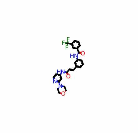 O=C(C=Cc1cccc(NC(=O)c2cccc(C(F)(F)F)c2)c1)Nc1ccnc(N2CCOCC2)c1